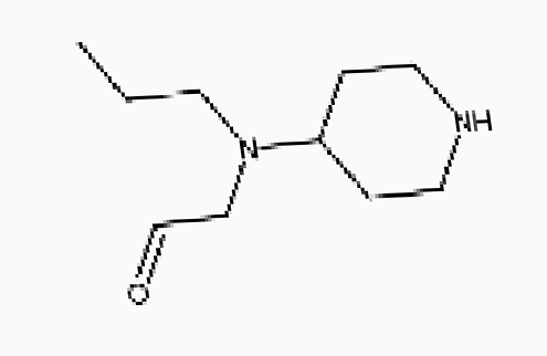 CCCN(CC=O)C1CCNCC1